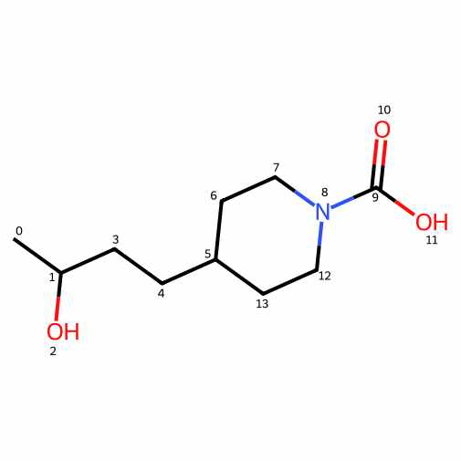 CC(O)CCC1CCN(C(=O)O)CC1